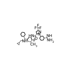 CC1CC(C(NCC2CC2)c2ccccc2)=CC(NC(=O)c2cc(C(F)(F)F)nn2-c2cccc(C(=N)N)c2)=C1F